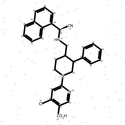 N#C[C@@H](NCC1CCN(c2cc(Cl)c(C(=O)O)cn2)CC1c1ccccc1)c1cccc2ccccc12